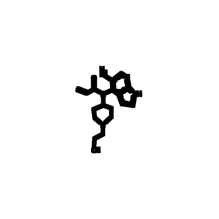 C=CC(=O)N(c1c(N)cnc2[nH]ccc12)C1CCN(CCC#N)CC1